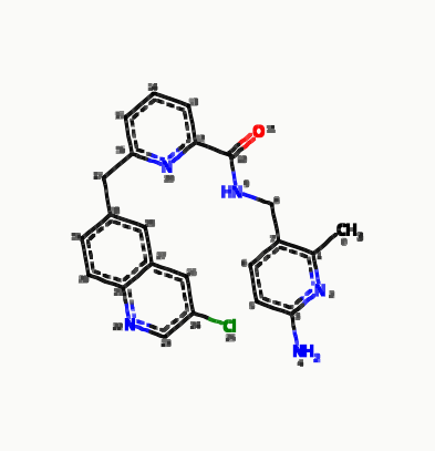 Cc1nc(N)ccc1CNC(=O)c1cccc(Cc2ccc3ncc(Cl)cc3c2)n1